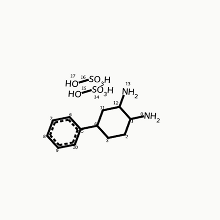 NC1CCC(c2ccccc2)CC1N.O=S(=O)(O)O.O=S(=O)(O)O